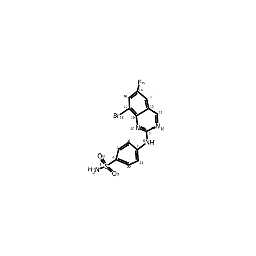 NS(=O)(=O)c1ccc(Nc2ncc3cc(F)cc(Br)c3n2)cc1